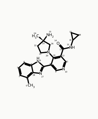 Cc1cccc2[nH]c(-c3cncc(C(=O)NC4CC4)c3N3CC[C@](C)(N)C3)nc12